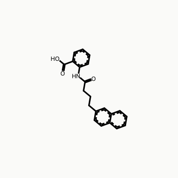 O=C(CCCc1ccc2ccccc2c1)Nc1ccccc1C(=O)O